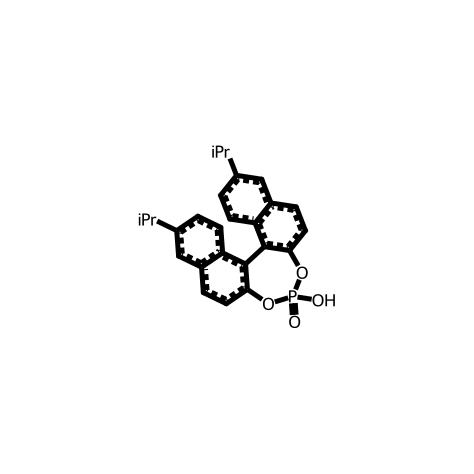 CC(C)c1ccc2c3c(ccc2c1)OP(=O)(O)Oc1ccc2cc(C(C)C)ccc2c1-3